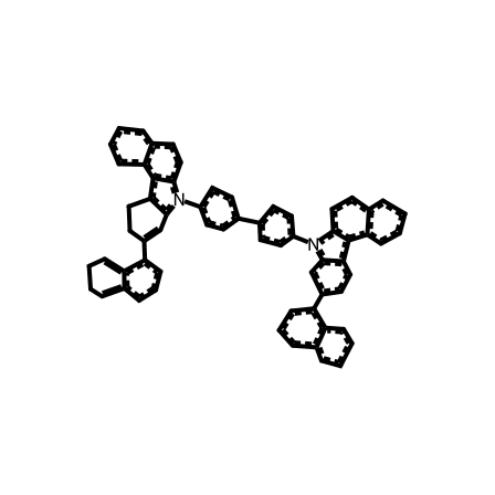 C1=C(c2cccc3c2=CCCC=3)CCc2c1n(-c1ccc(-c3ccc(-n4c5cc(-c6cccc7ccccc67)ccc5c5c6ccccc6ccc54)cc3)cc1)c1ccc3ccccc3c21